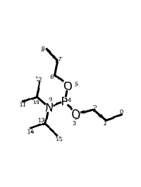 CCCOP(OCCC)N(C(C)C)C(C)C